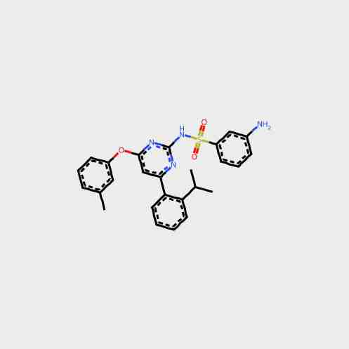 Cc1cccc(Oc2cc(-c3ccccc3C(C)C)nc(NS(=O)(=O)c3cccc(N)c3)n2)c1